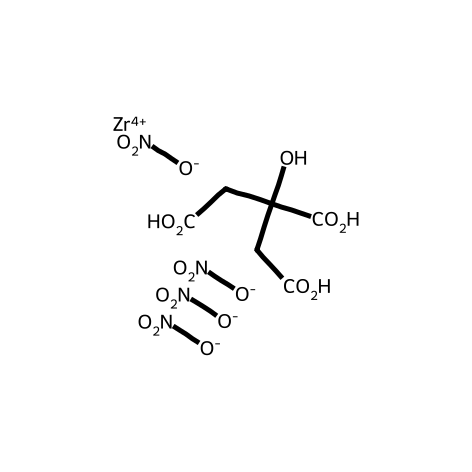 O=C(O)CC(O)(CC(=O)O)C(=O)O.O=[N+]([O-])[O-].O=[N+]([O-])[O-].O=[N+]([O-])[O-].O=[N+]([O-])[O-].[Zr+4]